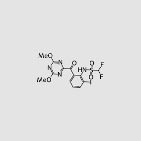 COc1nc(OC)nc(C(=O)c2cccc(I)c2NS(=O)(=O)C(F)F)n1